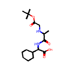 CC(NCC(=O)OC(C)(C)C)C(=O)NC(C(=O)O)C1CCCCC1